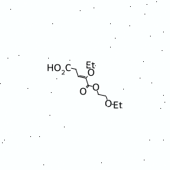 CCOCCOC(=O)C(=CCC(=O)O)OCC